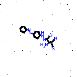 N#CC(=NNc1ccc(/N=N/c2ccccc2)cc1)C(N)=C(C#N)C#N